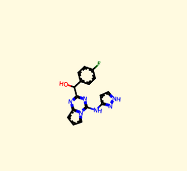 OC(c1ccc(F)cc1)c1nc(Nc2cc[nH]n2)n2cccc2n1